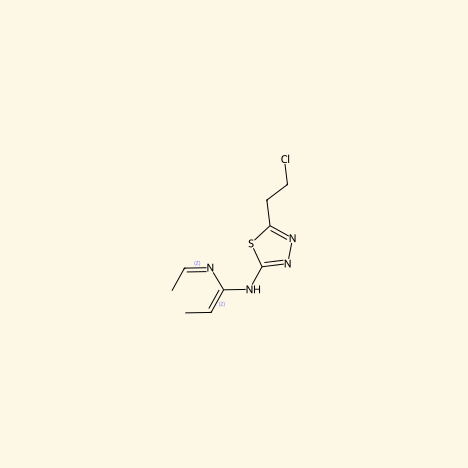 C/C=N\C(=C/C)Nc1nnc(CCCl)s1